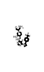 NCC(C=O)N1CC[C@@H](CNc2ncnc(N3CCC3c3ccc(C(F)(F)F)cc3)c2F)[C@H](O)C1